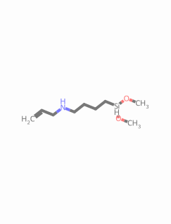 C=CCNCCCC[SiH](OC)OC